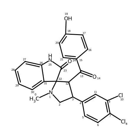 CN1CC(c2ccc(Cl)c(Cl)c2)C(C(=O)c2ccc(O)cc2)C12C(=O)Nc1ccccc12